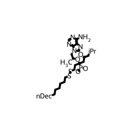 CCCCCCCCCCCCCCCCSSCCC(CC(=O)CC(C)C)(OC(C)Cn1cnc2c(N)ncnc21)P(=O)=O